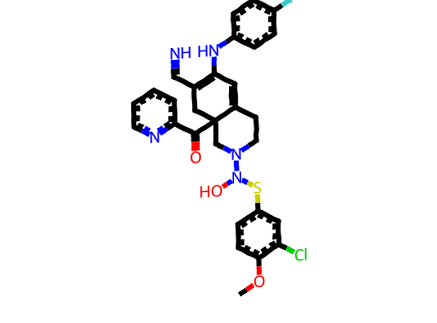 COc1ccc(SN(O)N2CCC3=CC(Nc4ccc(F)cc4)=C(C=N)CC3(C(=O)c3ccccn3)C2)cc1Cl